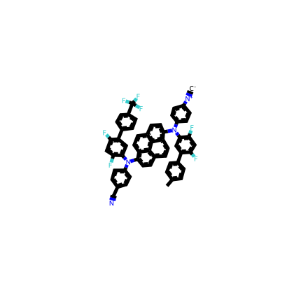 [C-]#[N+]c1ccc(N(c2cc(-c3ccc(C)cc3)c(F)cc2F)c2ccc3ccc4c(N(c5ccc(C#N)cc5)c5cc(-c6ccc(C(F)(F)F)cc6)c(F)cc5F)ccc5ccc2c3c54)cc1